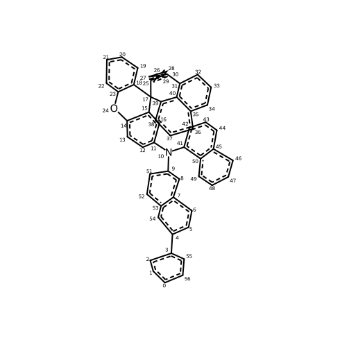 c1ccc(-c2ccc3cc(N(c4ccc5c(c4)C4(c6ccccc6O5)c5ccccc5-c5cccc6cccc4c56)c4cccc5ccccc45)ccc3c2)cc1